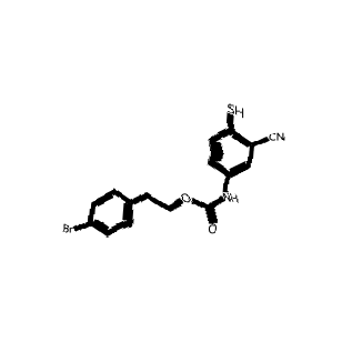 N#Cc1cc(NC(=O)OCCc2ccc(Br)cc2)ccc1S